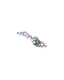 C/C(=N\OC(=O)CN1CCN(C)CC1)[C@H]1CC[C@H]2[C@@H]3CCC4=CC(=O)CC[C@]4(C)[C@H]3CC[C@]12C